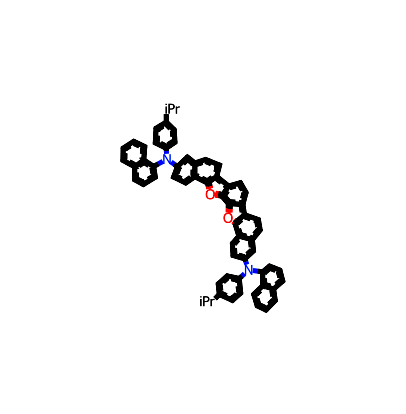 CC(C)c1ccc(N(c2ccc3c(ccc4c5ccc6c7ccc8cc(N(c9ccc(C(C)C)cc9)c9cccc%10ccccc9%10)ccc8c7oc6c5oc34)c2)c2cccc3ccccc23)cc1